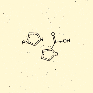 O=C(O)c1ccco1.c1c[nH]cn1